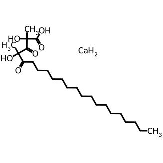 CCCCCCCCCCCCCCCCCC(=O)C(C)(O)C(=O)C(C)(O)C(=O)O.[CaH2]